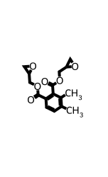 Cc1ccc(C(=O)OCC2CO2)c(C(=O)OCC2CO2)c1C